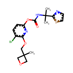 CC1(COc2nc(OC(=O)NC(C)(C)c3nccs3)ccc2Br)COC1